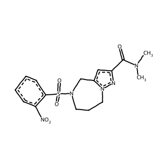 CN(C)C(=O)c1cc2n(n1)CCCN(S(=O)(=O)c1ccccc1[N+](=O)[O-])C2